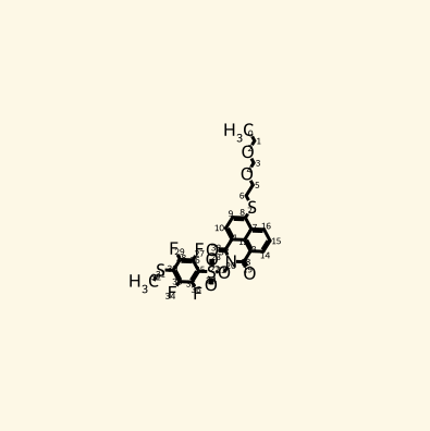 CCOCOCCSc1ccc2c3c(cccc13)C(=O)N(OS(=O)(=O)c1c(F)c(F)c(SC)c(F)c1F)C2=O